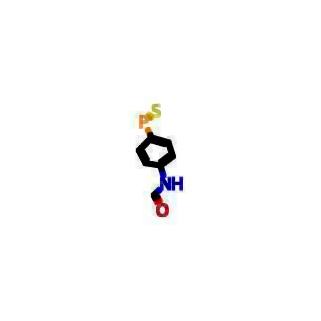 O=CNc1ccc(P=S)cc1